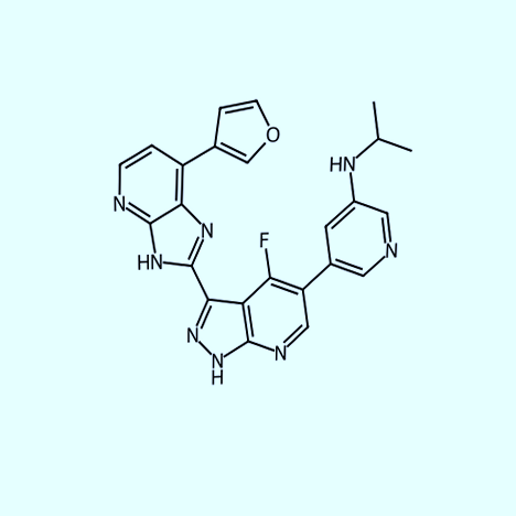 CC(C)Nc1cncc(-c2cnc3[nH]nc(-c4nc5c(-c6ccoc6)ccnc5[nH]4)c3c2F)c1